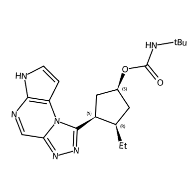 CC[C@@H]1C[C@H](OC(=O)NC(C)(C)C)C[C@@H]1c1nnc2cnc3[nH]ccc3n12